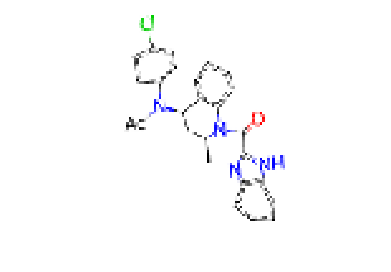 CC(=O)N(c1ccc(Cl)cc1)[C@@H]1C[C@H](C)N(C(=O)c2nc3ccccc3[nH]2)c2ccccc21